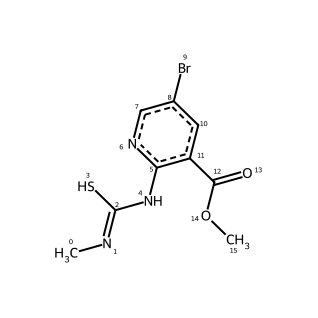 C/N=C(\S)Nc1ncc(Br)cc1C(=O)OC